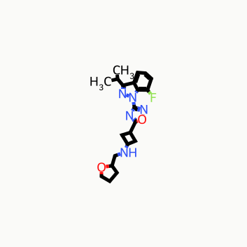 CC(C)c1nn(-c2noc(C3CC(NCC4CCCO4)C3)n2)c2c(F)cccc12